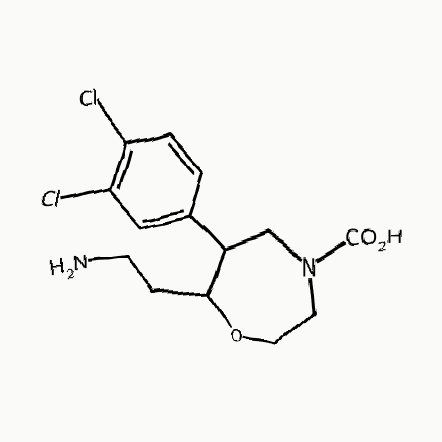 NCCC1OCCN(C(=O)O)CC1c1ccc(Cl)c(Cl)c1